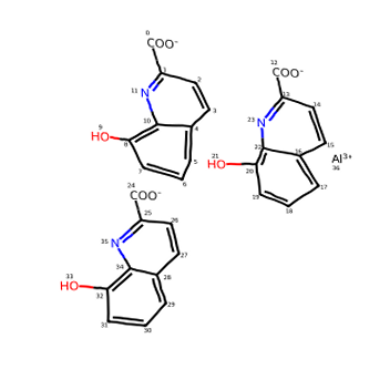 O=C([O-])c1ccc2cccc(O)c2n1.O=C([O-])c1ccc2cccc(O)c2n1.O=C([O-])c1ccc2cccc(O)c2n1.[Al+3]